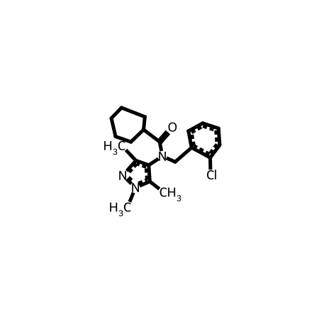 Cc1nn(C)c(C)c1N(Cc1ccccc1Cl)C(=O)C1CCCCC1